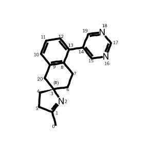 CC1=N[C@@]2(CC1)CCc1c(cccc1-c1cncnc1)C2